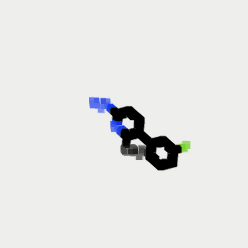 Nc1ccc(-c2cccc(F)c2)c(C(=O)O)n1